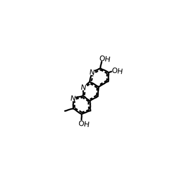 Cc1nc2nc3nc(O)c(O)cc3cc2cc1O